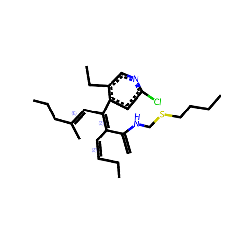 C=C(NCSCCCC)C(/C=C\CC)=C(/C=C(\C)CCC)c1cc(Cl)ncc1CC